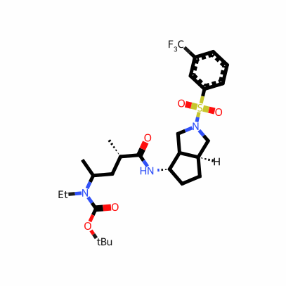 CCN(C(=O)OC(C)(C)C)C(C)C[C@H](C)C(=O)N[C@H]1CC[C@@H]2CN(S(=O)(=O)c3cccc(C(F)(F)F)c3)CC21